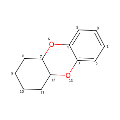 c1ccc2c(c1)OC1CCCCC1O2